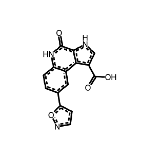 O=C(O)c1c[nH]c2c(=O)[nH]c3ccc(-c4ccno4)cc3c12